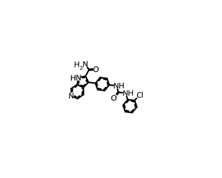 NC(=O)c1[nH]c2cnccc2c1-c1ccc(NC(=O)Nc2ccccc2Cl)cc1